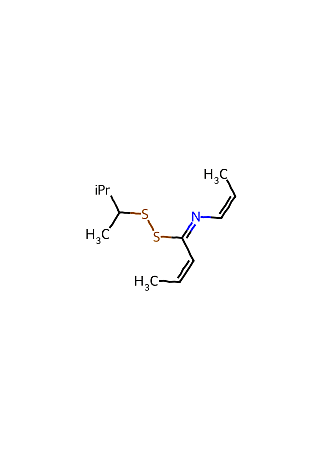 C\C=C/N=C(\C=C/C)SSC(C)C(C)C